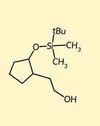 CC(C)(C)[Si](C)(C)OC1CCCC1CCO